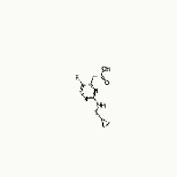 O=C(O)Cc1nc(NSC2CC2)ncc1F